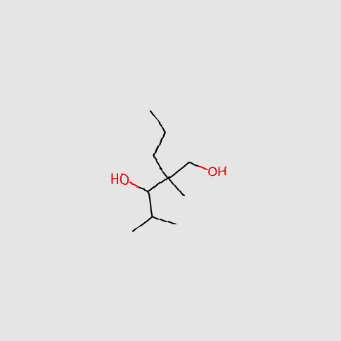 CCCC(C)(CO)C(O)C(C)C